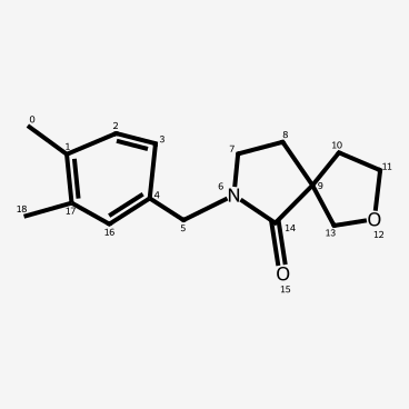 Cc1ccc(CN2CCC3(CCOC3)C2=O)cc1C